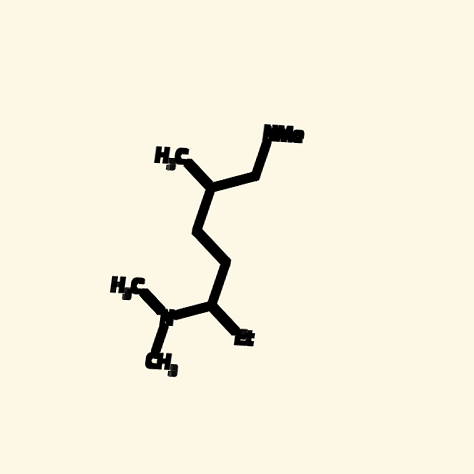 CCC(CCC(C)CNC)N(C)C